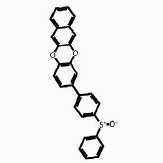 [O-][S+](c1ccccc1)c1ccc(-c2ccc3c(c2)Oc2cc4ccccc4cc2O3)cc1